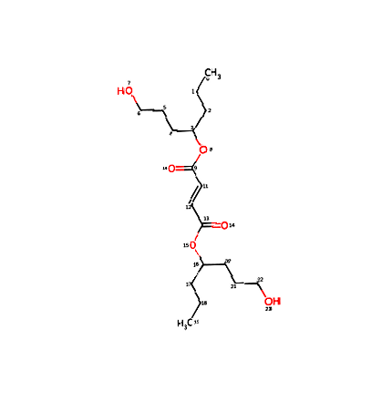 CCCC(CCCO)OC(=O)/C=C/C(=O)OC(CCC)CCCO